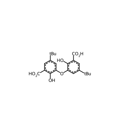 CC(C)(C)c1cc(Oc2cc(C(C)(C)C)cc(C(=O)O)c2O)c(O)c(C(=O)O)c1